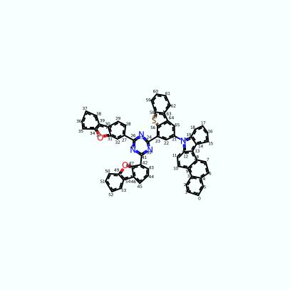 c1ccc2c(c1)ccc1c2ccc2c1c1ccccc1n2-c1cc(-c2nc(-c3ccc4c(c3)oc3ccccc34)nc(-c3cccc4c3oc3ccccc34)n2)c2sc3ccccc3c2c1